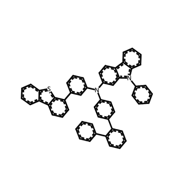 c1ccc(-c2ccccc2-c2ccc(N(c3cccc(-c4cccc5c4sc4ccccc45)c3)c3ccc4c5ccccc5n(-c5ccccc5)c4c3)cc2)cc1